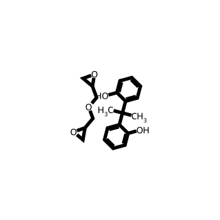 C(OCC1CO1)C1CO1.CC(C)(c1ccccc1O)c1ccccc1O